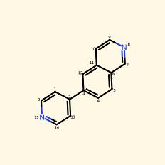 c1cc(-c2ccc3cnccc3c2)ccn1